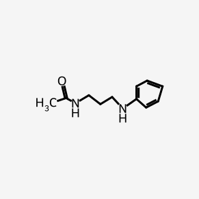 CC(=O)NCCCNc1ccccc1